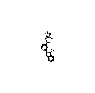 CC(Sc1nncn1C)c1ccnc(N2Cc3ccccc3C2=O)c1